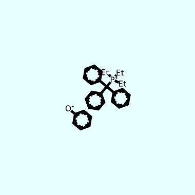 CC[P+](CC)(CC)C(c1ccccc1)(c1ccccc1)c1ccccc1.[O-]c1ccccc1